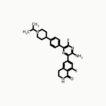 CC(C)N1CCC(c2ccc(-c3nc(-c4cc(F)c5c(c4)CCNC5=O)c(N)nc3F)cc2)CC1